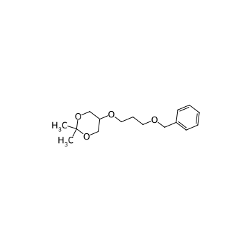 CC1(C)OCC(OCCCOCc2ccccc2)CO1